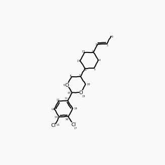 CC=CC1CCC(C2COC(c3ccc(Cl)c(Cl)c3)OC2)CC1